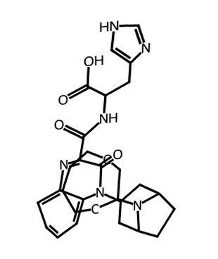 O=C(NC(Cc1c[nH]cn1)C(=O)O)c1nc2ccccc2n(C2CC3CCC(C2)N3C2CCCCCCC2)c1=O